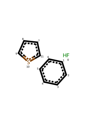 F.c1ccccc1.c1ccsc1